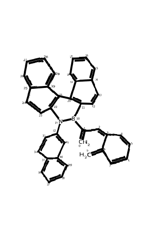 C=C(/C=c1/ccccc1=C)B1c2ccc3ccccc3c2-c2c(ccc3ccccc23)N1c1ccc2ccccc2c1